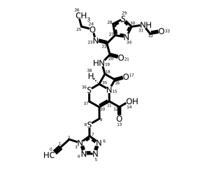 C#CCn1nnnc1SCC1=C(C(=O)O)N2C(=O)C(NC(=O)C(=NOCC)c3csc(NC=O)n3)[C@@H]2SC1